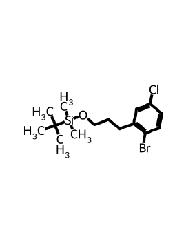 CC(C)(C)[Si](C)(C)OCCCc1cc(Cl)ccc1Br